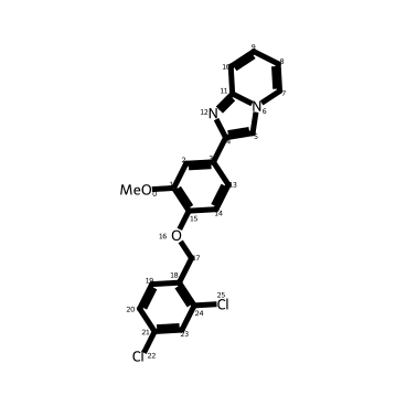 COc1cc(-c2cn3ccccc3n2)ccc1OCc1ccc(Cl)cc1Cl